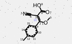 CO/C(=C(/C#N)C(=O)O)c1ccc(C)cc1